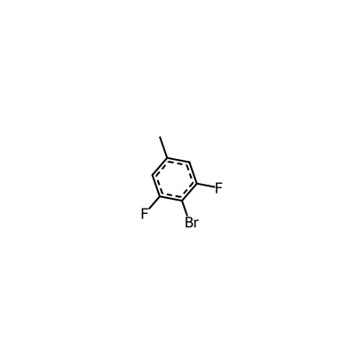 Cc1cc(F)c(Br)c(F)c1